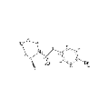 C[C@H]1COCCN1C(=O)Cc1ccc(Br)cc1